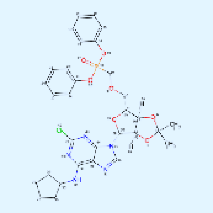 CC1(C)O[C@@H]2[C@H](O1)[C@@H](COCP(=O)(Oc1ccccc1)Oc1ccccc1)O[C@H]2n1cnc2c(NC3CCCC3)nc(Cl)nc21